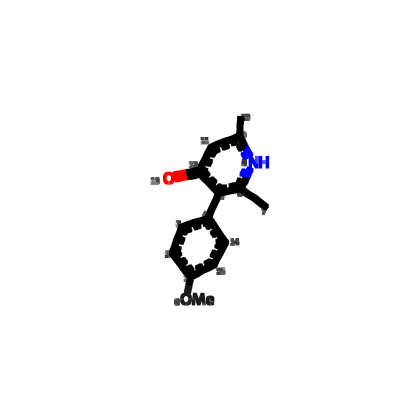 COc1ccc(-c2c(C)[nH]c(C)cc2=O)cc1